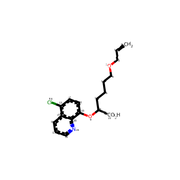 C=CCOCCCCC(Oc1ccc(Cl)c2cccnc12)C(=O)O